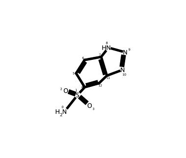 NS(=O)(=O)c1ccc2[nH]nnc2c1